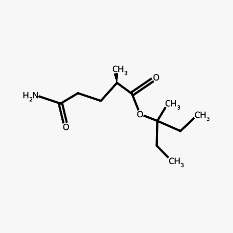 CCC(C)(CC)OC(=O)[C@H](C)CCC(N)=O